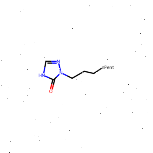 CCCCCCCCn1nc[nH]c1=O